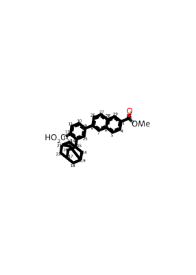 COC(=O)c1ccc2cc(-c3ccc(C(=O)O)c(C45CC6CC(CC(C6)C4)C5)c3)ccc2c1